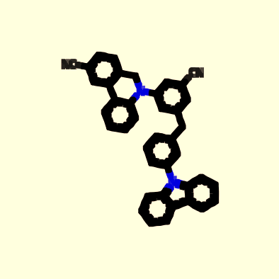 N#Cc1cc(Cc2cccc(-n3c4ccccc4c4ccccc43)c2)cc(N2Cc3ccc(C#N)cc3-c3ccccc32)c1